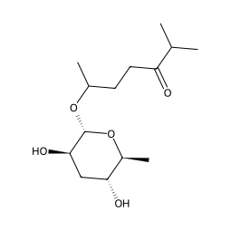 CC(CCC(=O)C(C)C)O[C@@H]1O[C@@H](C)[C@H](O)C[C@H]1O